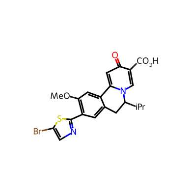 COc1cc2c(cc1-c1ncc(Br)s1)CC(C(C)C)n1cc(C(=O)O)c(=O)cc1-2